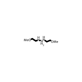 COCCN[SiH2]NCCOC